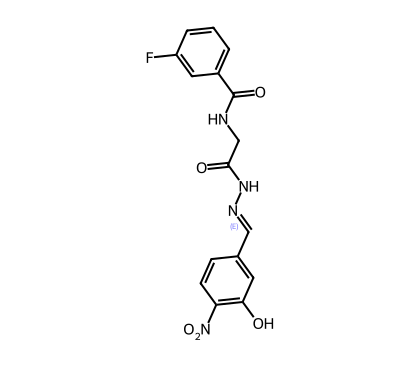 O=C(CNC(=O)c1cccc(F)c1)N/N=C/c1ccc([N+](=O)[O-])c(O)c1